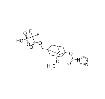 COC12CC3CC(COC(=O)C(F)(F)S(=O)(=O)O)(C1)CC(OC(=O)n1ccnc1)(C3)C2